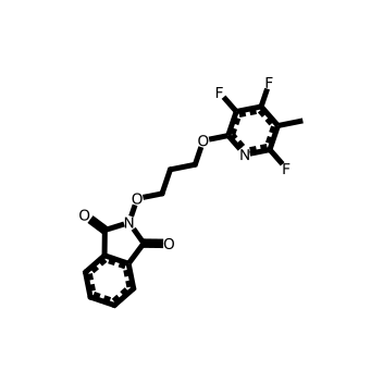 Cc1c(F)nc(OCCCON2C(=O)c3ccccc3C2=O)c(F)c1F